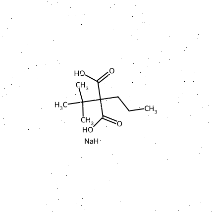 CCCC(C(=O)O)(C(=O)O)C(C)(C)C.[NaH]